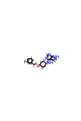 Fc1cccc(CCO[C@H]2CC[C@H](Nc3ncnc4[nH]ncc34)CC2)c1